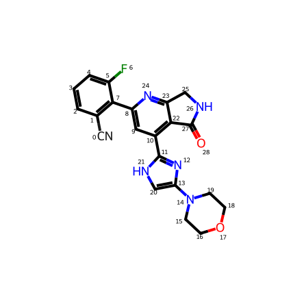 N#Cc1cccc(F)c1-c1cc(-c2nc(N3CCOCC3)c[nH]2)c2c(n1)CNC2=O